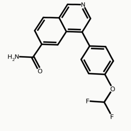 NC(=O)c1ccc2cncc(-c3ccc(OC(F)F)cc3)c2c1